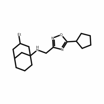 CCC1CC2CCCC(NCc3noc(C4CCCC4)n3)(C1)C2